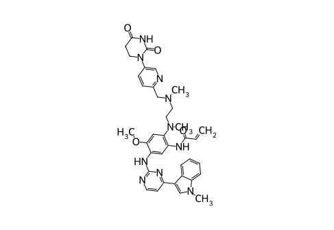 C=CC(=O)Nc1cc(Nc2nccc(-c3cn(C)c4ccccc34)n2)c(OC)cc1N(C)CCN(C)Cc1ccc(N2CCC(=O)NC2=O)cn1